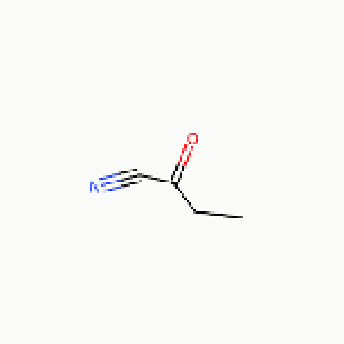 [CH2]CC(=O)C#N